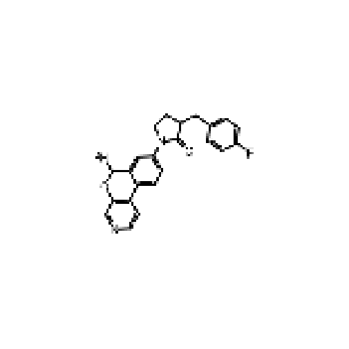 [2H]C1Oc2cnccc2-c2ccc(N3CCC(Cc4ccc(F)cc4)C3=O)cc21